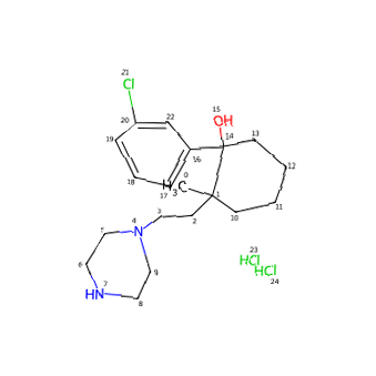 CC1(CCN2CCNCC2)CCCCC1(O)c1cccc(Cl)c1.Cl.Cl